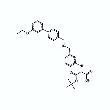 CCOc1cccc(-c2ccc(CNCc3cccc(NC(C(=O)O)C(=O)OC(C)(C)C)n3)cc2)c1